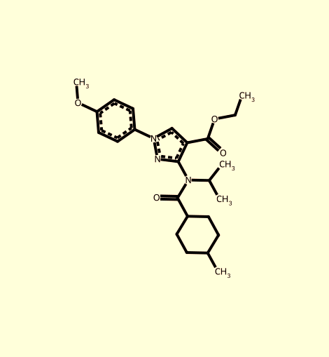 CCOC(=O)c1cn(-c2ccc(OC)cc2)nc1N(C(=O)C1CCC(C)CC1)C(C)C